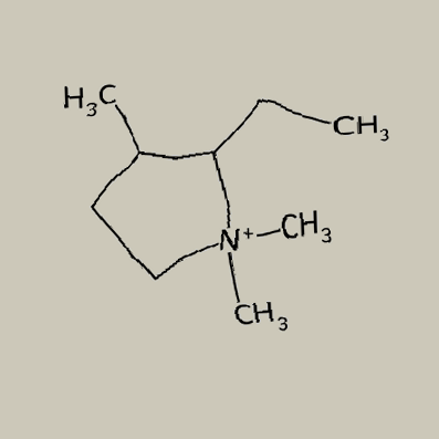 CCC1C(C)CC[N+]1(C)C